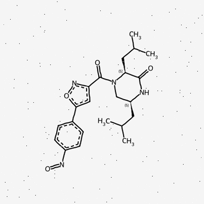 CC(C)C[C@H]1CN(C(=O)c2cc(-c3ccc(N=O)cc3)on2)[C@@H](CC(C)C)C(=O)N1